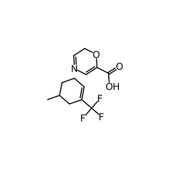 CC1CCC=C(C(F)(F)F)C1.O=C(O)C1=CN=CCO1